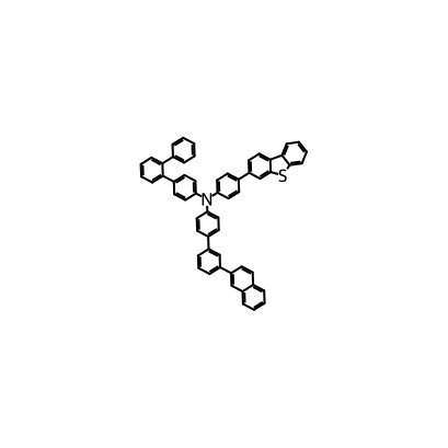 c1ccc(-c2ccccc2-c2ccc(N(c3ccc(-c4cccc(-c5ccc6ccccc6c5)c4)cc3)c3ccc(-c4ccc5c(c4)sc4ccccc45)cc3)cc2)cc1